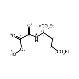 CCOC(=O)CC[C@H](NC(=O)C(=O)OO)C(=O)OCC